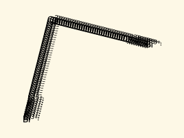 [Bi+3].[Bi+3].[Bi+3].[Bi+3].[Bi+3].[Bi+3].[Bi+3].[Bi+3].[Bi+3].[Bi+3].[Bi+3].[Bi+3].[Bi+3].[Bi+3].[Bi+3].[Bi+3].[Bi+3].[Bi+3].[Bi+3].[Bi+3].[O-2].[O-2].[O-2].[O-2].[O-2].[O-2].[O-2].[O-2].[O-2].[O-2].[O-2].[O-2].[O-2].[O-2].[O-2].[O-2].[O-2].[O-2].[O-2].[O-2].[O-2].[O-2].[O-2].[O-2].[O-2].[O-2].[O-2].[O-2].[O-2].[O-2].[O-2].[O-2].[O-2].[O-2].[O-2].[O-2].[O-2].[O-2].[O-2].[O-2].[O-2].[O-2].[O-2].[O-2].[O-2].[O-2].[O-2].[O-2].[O-2].[O-2].[O-2].[O-2].[O-2].[O-2].[O-2].[O-2].[O-2].[O-2].[O-2].[O-2].[O-2].[O-2].[O-2].[O-2].[O-2].[O-2].[O-2].[O-2].[O-2].[O-2]